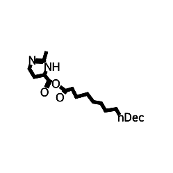 CCCCCCCCCCCCCCCCCC(=O)OC(=O)C1CCN=C(C)N1